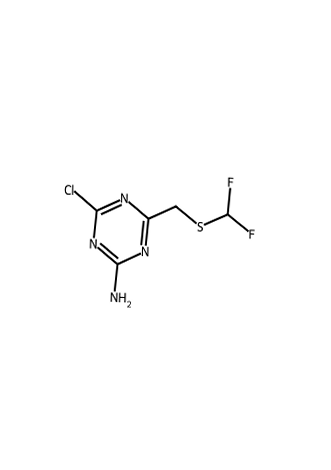 Nc1nc(Cl)nc(CSC(F)F)n1